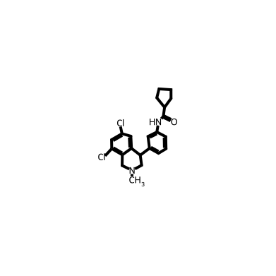 CN1Cc2c(Cl)cc(Cl)cc2C(c2cccc(NC(=O)C3CCCC3)c2)C1